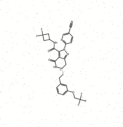 N#Cc1ccc(-n2nc3c(c2C(=O)NC2CC(F)(F)C2)C(=O)N[C@@H](CCc2cccc(OCC(F)(F)F)c2)C3)nc1